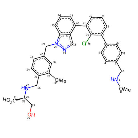 CONCc1ccc(-c2cccc(-c3cccc4c3cnn4Cc3ccc(CN[C@@H](CO)C(=O)O)c(OC)c3)c2Cl)cc1